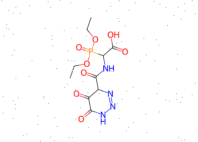 CCOP(=O)(OCC)C(NC(=O)C1N=NNC(=O)C1=O)C(=O)O